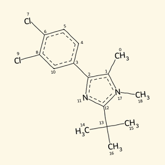 Cc1c(-c2ccc(Cl)c(Cl)c2)nc(C(C)(C)C)n1C